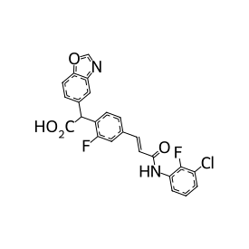 O=C(C=Cc1ccc(C(C(=O)O)c2ccc3ocnc3c2)c(F)c1)Nc1cccc(Cl)c1F